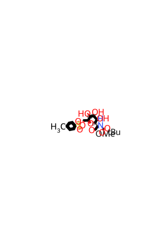 COC(=O)C(NC(=O)OC(C)(C)C)[C@@H]1OC(COS(=O)(=O)c2ccc(C)cc2)[C@@H](O)[C@H](O)C1O